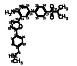 CNCc1ccc(-c2nnc(-c3cc(-c4ccc(S(=O)(=O)C(C)C)cc4)cnc3N)o2)cc1